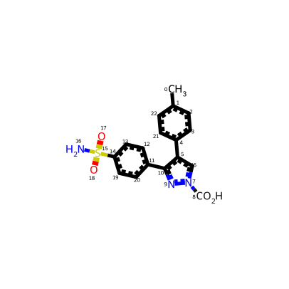 Cc1ccc(-c2[c]n(C(=O)O)nc2-c2ccc(S(N)(=O)=O)cc2)cc1